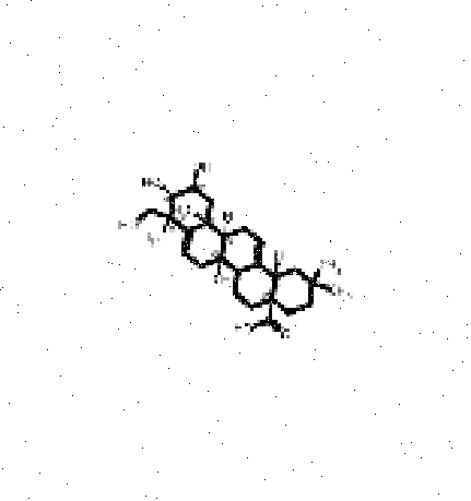 CC1(C)CC[C@]2(C(=O)O)CCC3C(=CC[C@@H]4[C@@]5(C)C[C@H](O)[C@H](O)[C@@](C)(CO)C5=CC[C@@]34C)[C@@H]2C1